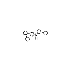 c1ccc(-c2cccc(Nc3ccc(-c4ccccc4-c4ccccc4)cc3)c2)cc1